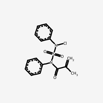 C=C(C)C(=O)N(c1ccccc1)S(=O)(=O)N(Cl)c1ccccc1